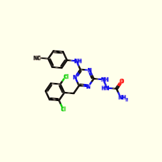 N#Cc1ccc(Nc2nc(Cc3c(Cl)cccc3Cl)nc(NNC(N)=O)n2)cc1